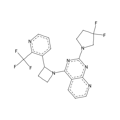 FC1(F)CCN(c2nc(N3CCC3c3cccnc3C(F)(F)F)c3cccnc3n2)C1